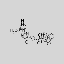 CC[C@H]1CNCCN1c1ncc(Cl)c(N2CC(C(=O)N(C)C(C)(C)c3cnc4ccccn34)C2)n1